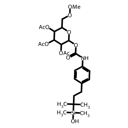 COOCC1OC(OC(=O)Nc2ccc(CCC(C)(C)[Si](C)(C)O)cc2)C(OC(C)=O)C(OC(C)=O)C1OC(C)=O